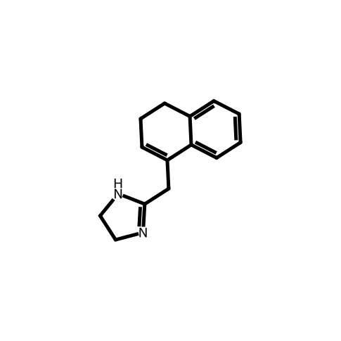 C1=C(CC2=NCCN2)c2ccccc2CC1